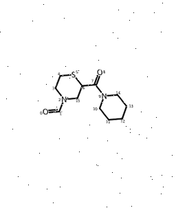 O=[C]N1CCSC(C(=O)N2CCCCC2)C1